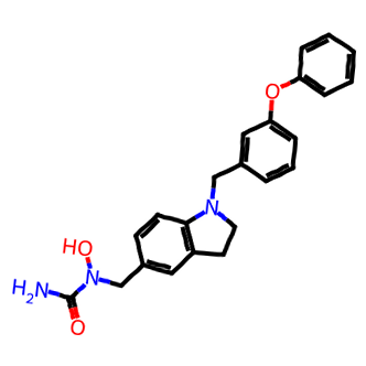 NC(=O)N(O)Cc1ccc2c(c1)CCN2Cc1cccc(Oc2ccccc2)c1